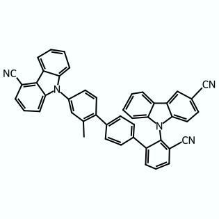 Cc1cc(-n2c3ccccc3c3c(C#N)cccc32)ccc1-c1ccc(-c2cccc(C#N)c2-n2c3ccccc3c3cc(C#N)ccc32)cc1